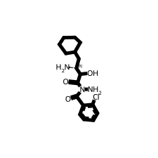 N[C@H](CC1CCCCC1)C(O)C(=O)N(N)C(=O)c1ccccc1Cl